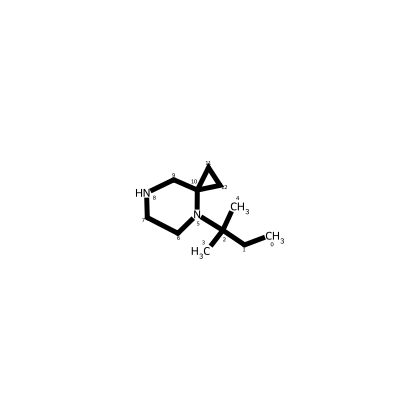 CCC(C)(C)N1CCNCC12CC2